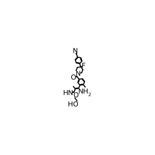 C/C(C(=N)OCCO)=C(/N)c1cc(C(=O)N2CCC(F)(c3ccc(C#N)cc3)CC2)ccc1C